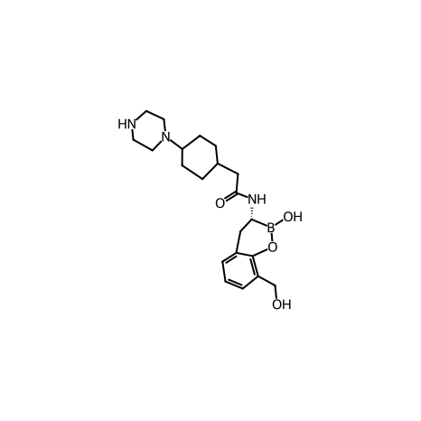 O=C(CC1CCC(N2CCNCC2)CC1)N[C@H]1Cc2cccc(CO)c2OB1O